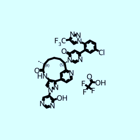 C[C@@H]1CCC[C@H](n2cnc(-c3cc(Cl)ccc3-n3cc(C(F)(F)F)nn3)cc2=O)c2cc(ccn2)-c2nn(-c3cncnc3O)cc2NC1=O.O=C(O)C(F)(F)F